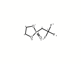 O=P1(CC(F)(F)F)OCCO1